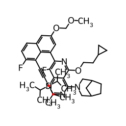 COCOc1cc(-c2nc(OCCC3CC3)c3c(N4CC5CCC(C5)C4)ncnc3c2F)c2c(C#C[Si](C(C)C)(C(C)C)C(C)C)c(F)ccc2c1